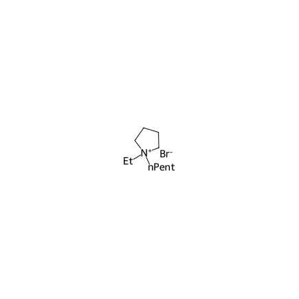 CCCCC[N+]1(CC)CCCC1.[Br-]